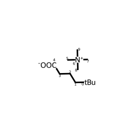 CC(C)(C)CCCC(=O)[O-].C[N+](C)(C)C